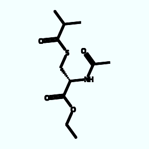 CCOC(=O)[C@H](CSC(=O)C(C)C)NC(C)=O